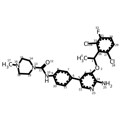 CC(Oc1cc(-c2ccc(NC(=O)N3CCN(C)CC3)cc2)cnc1N)c1c(Cl)ccc(F)c1Cl